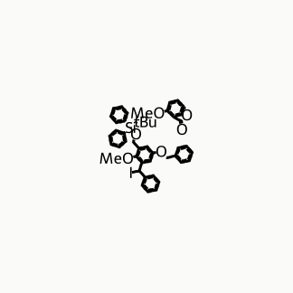 COc1c(CO[Si](c2ccccc2)(c2ccccc2)C(C)(C)C)cc(OCc2ccccc2)cc1C(I)c1ccccc1.COc1ccc2cc1C(=O)O2